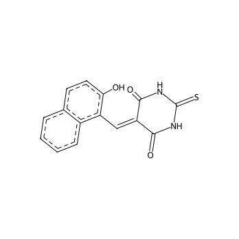 O=C1NC(=S)NC(=O)C1=Cc1c(O)ccc2ccccc12